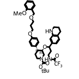 COc1ccccc1COCCCOc1ccc([C@H]2CCN(C(=O)OC(C)(C)C)C[C@@H]2OC(CCNC(=O)C(F)(F)F)c2ccc3c(c2)NCCC3)cc1